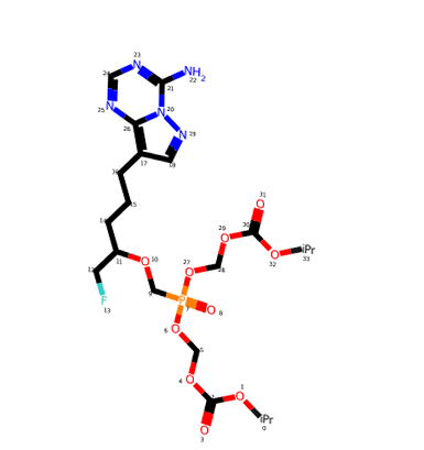 CC(C)OC(=O)OCOP(=O)(COC(CF)CCCc1cnn2c(N)ncnc12)OCOC(=O)OC(C)C